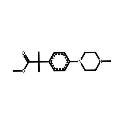 COC(=O)C(C)(C)c1ccc(N2CCN(C)CC2)cc1